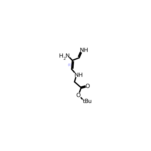 CC(C)(C)OC(=O)CN/C=C(/N)C=N